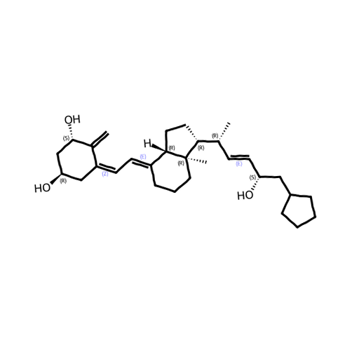 C=C1/C(=C\C=C2/CCC[C@]3(C)[C@@H]([C@H](C)/C=C/[C@@H](O)CC4CCCC4)CC[C@@H]23)C[C@@H](O)C[C@@H]1O